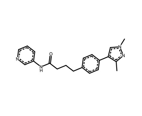 Cc1nn(C)cc1-c1ccc(CCCC(=O)Nc2cccnc2)cc1